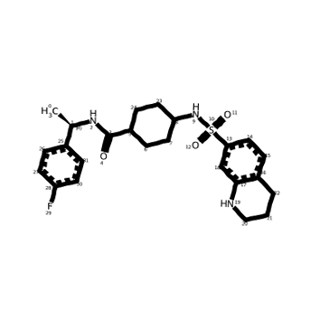 C[C@@H](NC(=O)C1CCC(NS(=O)(=O)c2ccc3c(c2)NCCC3)CC1)c1ccc(F)cc1